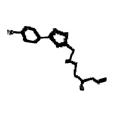 C=CCC(CC)CCNCc1noc(-c2ccc(C(F)(F)F)cc2)n1